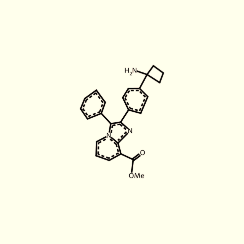 COC(=O)c1cccn2c(-c3ccccc3)c(-c3ccc(C4(N)CCC4)cc3)nc12